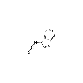 S=C=NC1C=Cc2ccccc21